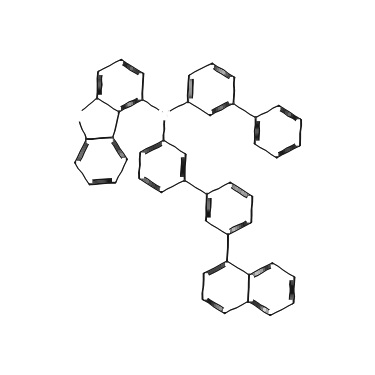 c1ccc(-c2cccc(N(c3cccc(-c4cccc(-c5cccc6ccccc56)c4)c3)c3cccc4sc5ccccc5c34)c2)cc1